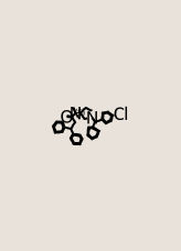 CN(C(=O)CC(c1ccccc1)c1ccccc1)[C@H]1CCN(C(c2ccccc2)c2ccc(Cl)cc2)C1